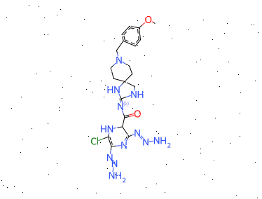 COc1ccc(CN2CCC3(CC2)CN/C(=N\C(=O)C2NC(Cl)=C(N=NN)N=C2N=NN)N3)cc1